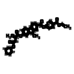 C=COC(=O)c1ccc(OC(=O)c2ccc3c(c2)C(C)c2cc(OC(=O)C(=C)CC(=O)OC4CCCCC4)ccc2-3)cc1